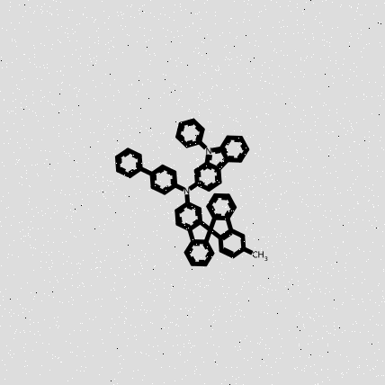 CC1C=CC2=C(C1)c1ccccc1C21c2ccccc2-c2ccc(N(c3ccc(-c4ccccc4)cc3)c3ccc4c5ccccc5n(-c5ccccc5)c4c3)cc21